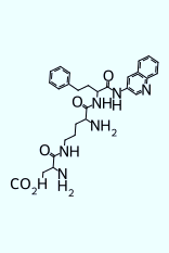 NC(CC(=O)O)C(=O)NCCCC(N)C(=O)NC(CCc1ccccc1)C(=O)Nc1cnc2ccccc2c1